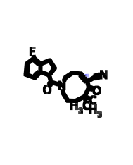 CC1(C)CCCN(C(=O)C2CCc3c(F)cccc32)CC/C=C(/C#N)C1=O